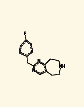 Fc1ccc(Cc2ncc3c(n2)CCNCC3)cc1